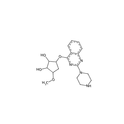 COC1CC(Oc2nc(N3CCNCC3)nc3ccccc23)C(O)C1O